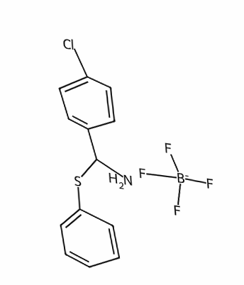 F[B-](F)(F)F.NC(Sc1ccccc1)c1ccc(Cl)cc1